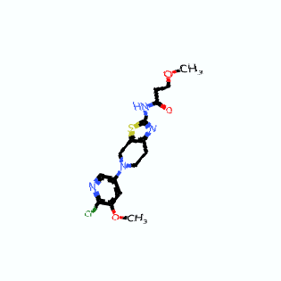 COCCC(=O)Nc1nc2c(s1)CN(c1cnc(Cl)c(OC)c1)CC2